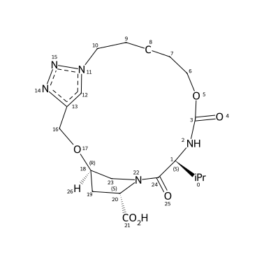 CC(C)[C@@H]1NC(=O)OCCCCCn2cc(nn2)CO[C@@H]2C[C@@H](C(=O)O)N(C2)C1=O